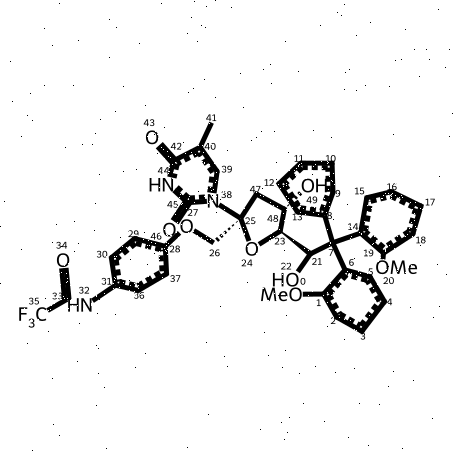 COc1ccccc1C(c1ccccc1)(c1ccccc1OC)C(O)[C@H]1O[C@@](COc2ccc(NC(=O)C(F)(F)F)cc2)(n2cc(C)c(=O)[nH]c2=O)C[C@@H]1O